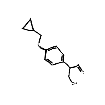 O=CC(CO)c1ccc(SCC2CC2)cc1